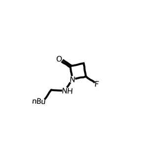 CCCCCNN1C(=O)CC1F